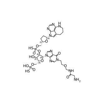 NCC(=O)NCOCCn1cnc2c(ncn2[C@@H]2O[C@H](COP(=O)(O)S)[C@@H](O)[C@H]2OP(=O)(S)OC[C@@H]2CC[C@H](n3cc4c5c(ncnc53)NCCC4)O2)c1=O